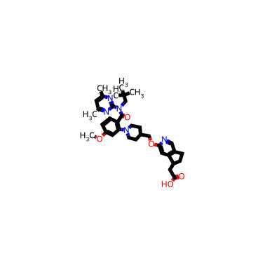 COc1ccc(C(=O)N(CC(C)(C)C)c2nc(C)cc(C)n2)c(N2CCC(COc3cc4c(cn3)CCC4CC(=O)O)CC2)c1